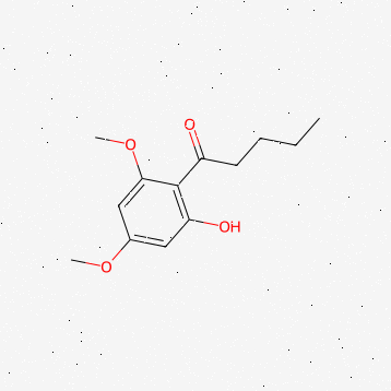 CCCCC(=O)c1c(O)cc(OC)cc1OC